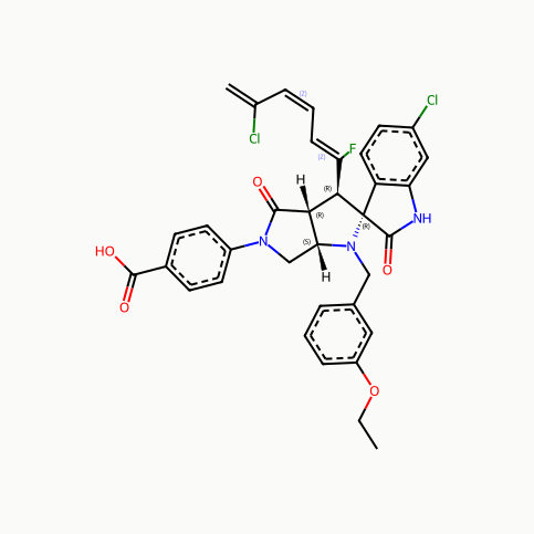 C=C(Cl)/C=C\C=C(/F)[C@@H]1[C@H]2C(=O)N(c3ccc(C(=O)O)cc3)C[C@H]2N(Cc2cccc(OCC)c2)[C@]12C(=O)Nc1cc(Cl)ccc12